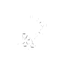 CCOC(=O)OC(C)COC(=O)OCCC[C@@H]1N=C(c2ccccn2)c2cc(Br)ccc2-n2c(C)cnc21